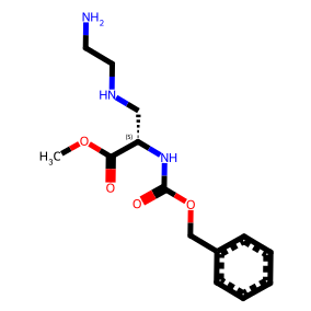 COC(=O)[C@H](CNCCN)NC(=O)OCc1ccccc1